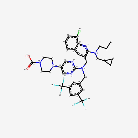 CCCN(CC1CC1)c1nc2c(Cl)cccc2cc1CN(Cc1cc(C(F)(F)F)cc(C(F)(F)F)c1)c1ncc(N2CCN(C(=O)O)CC2)cn1